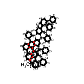 CC(C)(C)c1ccc(-c2ccccc2N2c3cc4c(cc3B3c5ccccc5N(c5ccccc5)c5c3c2cc2oc3ccccc3c52)B2c3ccccc3N(c3ccccc3)c3c2c(cc2oc5ccc(-c6ccccc6)cc5c32)N4c2ccccc2-c2ccc(C(C)(C)C)cc2)cc1